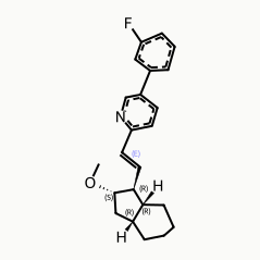 CO[C@H]1C[C@H]2CCCC[C@H]2[C@@H]1/C=C/c1ccc(-c2cccc(F)c2)cn1